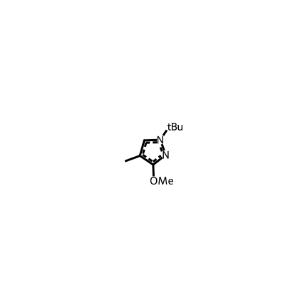 COc1nn(C(C)(C)C)cc1C